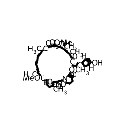 CO[C@H]1C[C@@H]2CC[C@@H](C)[C@@](O)(O2)C(=O)C(=O)N2CCCC[C@H]2C(=O)O[C@H]([C@H](C)C[C@H]2C[C@H]3C[C@@H]2C[C@@H]3O)CC(=O)[C@H](C)/C=C(\C)[C@@H](O)[C@@H](OC)C(=O)[C@H](C)C[C@H](C)/C=C/C=C/C=C/1C